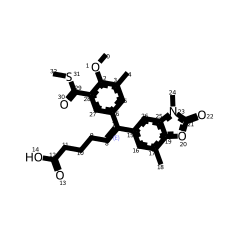 COc1c(C)cc(/C(=C\CCCC(=O)O)c2cc(C)c3oc(=O)n(C)c3c2)cc1C(=O)SC